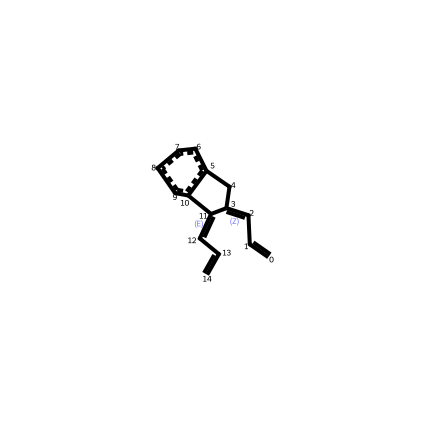 C=C/C=C1/Cc2ccccc2/C1=C/C=C